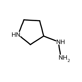 NNC1CCNC1